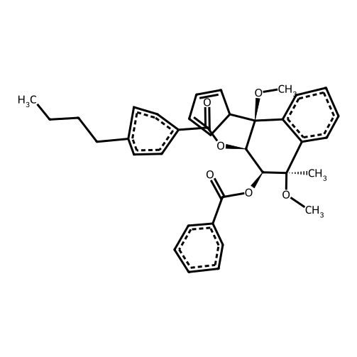 CCCCc1ccc(C(=O)O[C@@H]2[C@H](OC(=O)c3ccccc3)[C@](C)(OC)c3ccccc3[C@@]2(OC)C2C=CC=C2)cc1